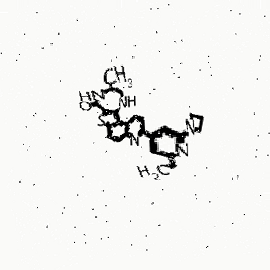 C=Cc1cc(-c2ccc3c(ccc4sc5c(c43)NC[C@@H](C)NC5=O)n2)cc(N2CCC2)n1